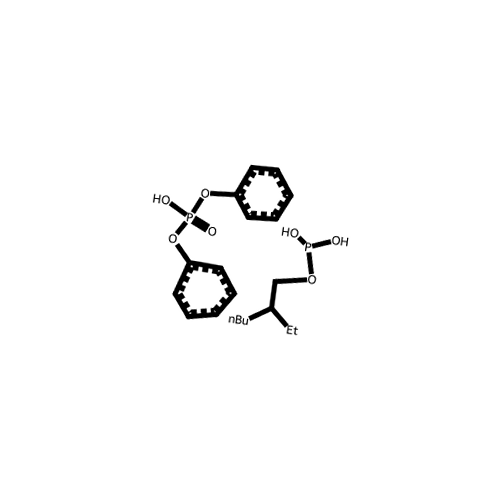 CCCCC(CC)COP(O)O.O=P(O)(Oc1ccccc1)Oc1ccccc1